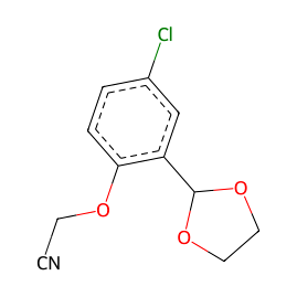 N#CCOc1ccc(Cl)cc1C1OCCO1